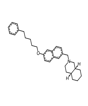 c1ccc(CCCCCOc2ccc3cc(CN4CC[C@H]5CCCC[C@H]5C4)ccc3c2)cc1